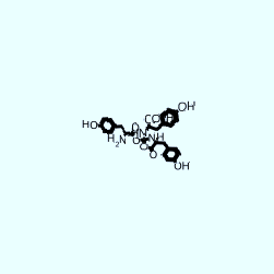 NC(Cc1ccc(O)cc1)C(=O)O[C@@]1(NC(Cc2ccc(O)cc2)C(=O)O)NC(Cc2ccc(O)cc2)C(=O)O1